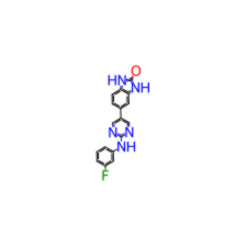 O=c1[nH]c2ccc(-c3cnc(Nc4cccc(F)c4)nc3)cc2[nH]1